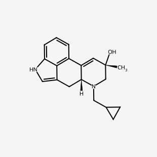 C[C@]1(O)C=C2c3cccc4[nH]cc(c34)C[C@H]2N(CC2CC2)C1